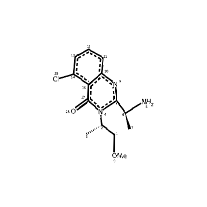 COC[C@H](C)n1c([C@H](C)N)nc2cccc(Cl)c2c1=O